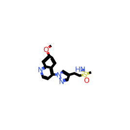 COc1ccc2c(-n3cc(CCS(C)(=N)=O)cn3)ccnc2c1